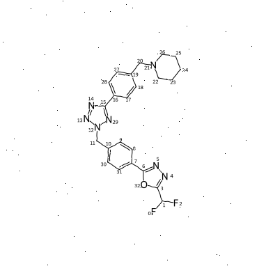 FC(F)c1nnc(-c2ccc(Cn3nnc(-c4ccc(CN5CCCCC5)cc4)n3)cc2)o1